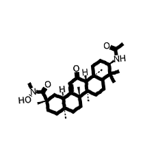 CC(=O)N[C@@H]1CC[C@@]2(C)C(CC[C@]3(C)[C@@H]2C(=O)C=C2[C@@H]4C[C@@](C)(C(=O)N(C)O)CC[C@]4(C)CC[C@]23C)C1(C)C